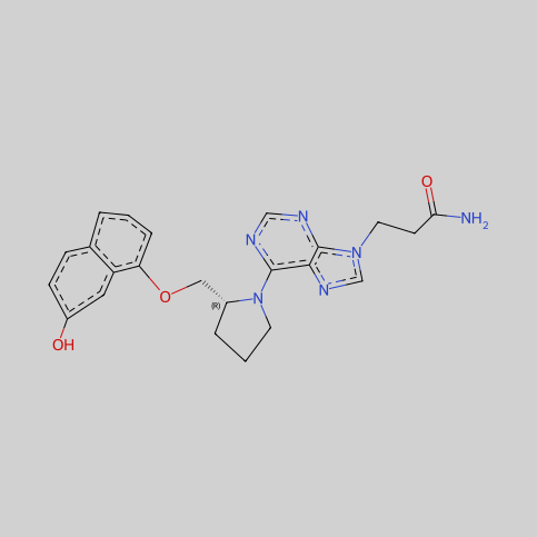 NC(=O)CCn1cnc2c(N3CCC[C@@H]3COc3cccc4ccc(O)cc34)ncnc21